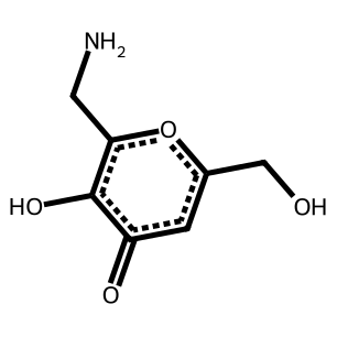 NCc1oc(CO)cc(=O)c1O